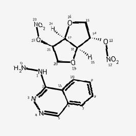 NNc1nncc2ccccc12.O=[N+]([O-])O[C@H]1CO[C@H]2[C@@H]1OC[C@H]2O[N+](=O)[O-]